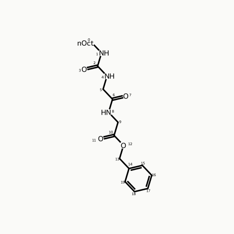 CCCCCCCCNC(=O)NCC(=O)NCC(=O)OCc1ccccc1